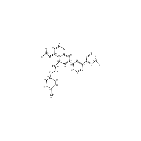 C=C/C(=C\N(C)C)c1cccc(-c2ncc(C(/C=N\C)=C/C(=C)C)c(NCCN3CCC(O)CC3)n2)c1